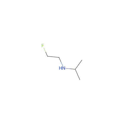 CC(C)NCCF